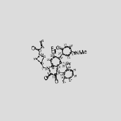 C=CC(=O)N1CC(Cn2c(=O)c(=O)n(-c3c(C)cccc3C(C)C)c3cc(-c4cc(NC)ccc4C(F)(F)F)c(Cl)cc32)C1